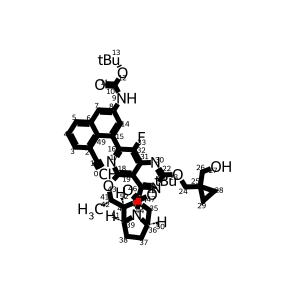 C#Cc1cccc2cc(NC(=O)OC(C)(C)C)cc(-c3nc4c5c(nc(OCC6(CO)CC6)nc5c3F)N3C[C@H]5CC[C@@H]([C@H]3[C@H](C)O4)N5C(=O)OC(C)(C)C)c12